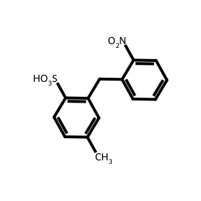 Cc1ccc(S(=O)(=O)O)c(Cc2ccccc2[N+](=O)[O-])c1